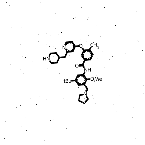 COc1c(CN2CCCC2)cc(C(C)(C)C)cc1NC(=O)c1ccc(C)c(Oc2ccnc(CC3CCNCC3)c2)c1